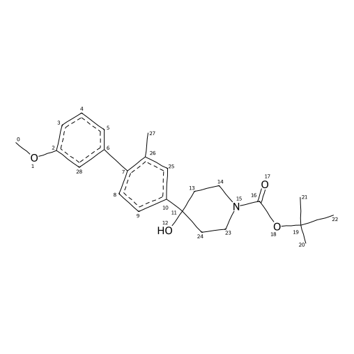 COc1cccc(-c2ccc(C3(O)CCN(C(=O)OC(C)(C)C)CC3)cc2C)c1